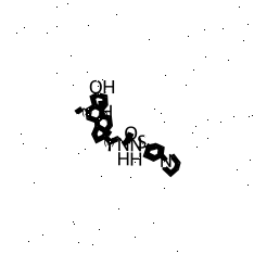 CC[C@H]1CC2C3CCC([C@H](C)CNC(=O)NSc4ccc(N5CCCCC5)cc4)C3(C)CC[C@@H]2C2(C)CCC(O)CC12